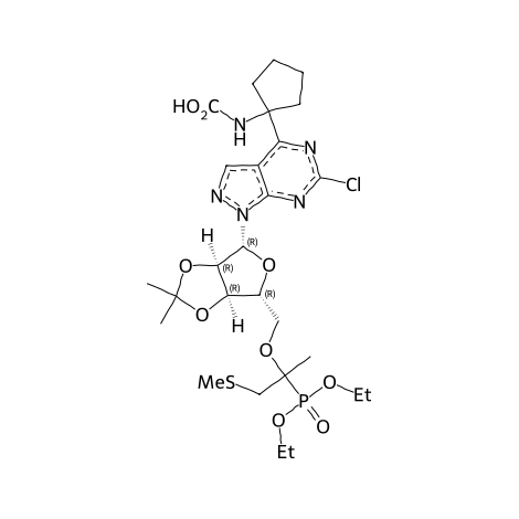 CCOP(=O)(OCC)C(C)(CSC)OC[C@H]1O[C@@H](n2ncc3c(C4(NC(=O)O)CCCC4)nc(Cl)nc32)[C@@H]2OC(C)(C)O[C@@H]21